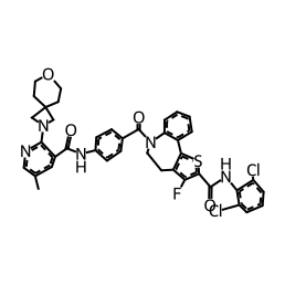 Cc1cnc(N2CC3(CCOCC3)C2)c(C(=O)Nc2ccc(C(=O)N3CCc4c(sc(C(=O)Nc5c(Cl)cccc5Cl)c4F)-c4ccccc43)cc2)c1